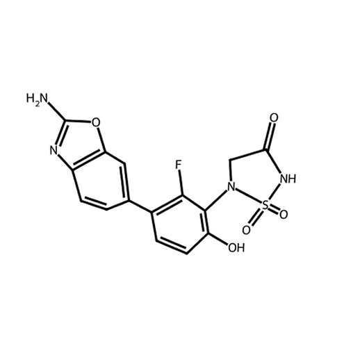 Nc1nc2ccc(-c3ccc(O)c(N4CC(=O)NS4(=O)=O)c3F)cc2o1